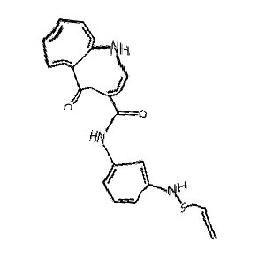 C=CSNc1cccc(NC(=O)c2c[nH]c3ccccc3c2=O)c1